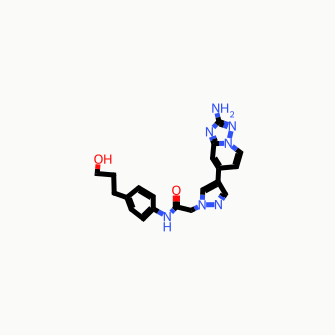 Nc1nc2cc(-c3cnn(CC(=O)Nc4ccc(CCCO)cc4)c3)ccn2n1